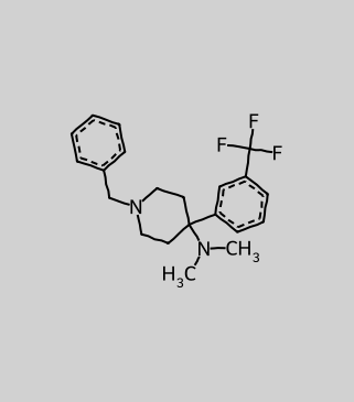 CN(C)C1(c2cccc(C(F)(F)F)c2)CCN(Cc2ccccc2)CC1